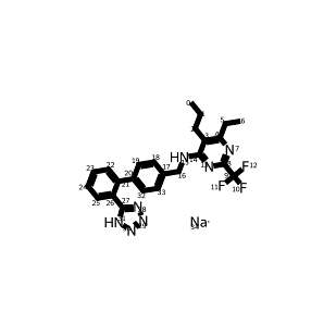 CCCc1c(CC)nc(C(F)(F)F)nc1NCc1ccc(-c2ccccc2-c2nnn[nH]2)cc1.[Na]